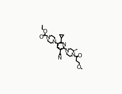 CCOC(=O)N1CCN(c2cc(C#N)c(N3CCN(C(=O)CCOC)[C@H](C)C3)nc2C2CC2)CC1